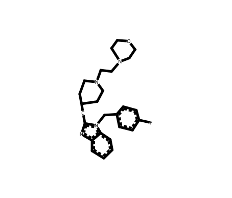 Fc1ccc(Cn2c(CC3CCN(CCN4CCOCC4)CC3)nc3ccccc32)cc1